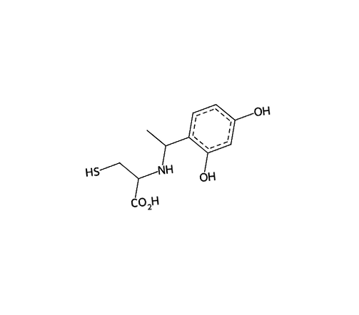 CC(NC(CS)C(=O)O)c1ccc(O)cc1O